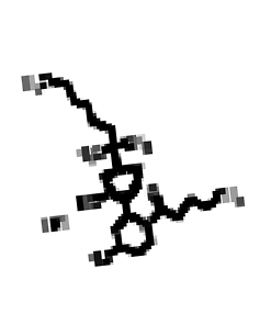 CCCCCCC(C)(C)c1ccc(C2CC(O)CCN2C(=O)CCCC)c(O)c1.Cl